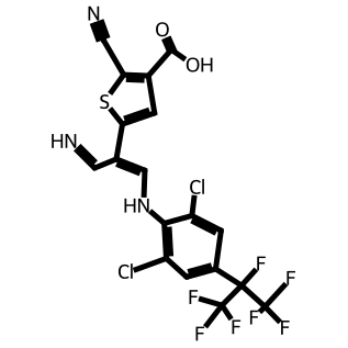 N#Cc1sc(/C(C=N)=C/Nc2c(Cl)cc(C(F)(C(F)(F)F)C(F)(F)F)cc2Cl)cc1C(=O)O